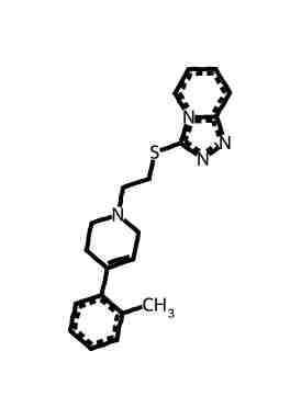 Cc1ccccc1C1=CCN(CCSc2nnc3ccccn23)CC1